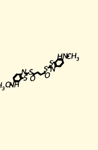 CNc1ccc2nc(SC(=O)CCC(=O)Sc3nc4ccc(NC)cc4s3)sc2c1